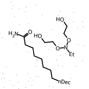 CCCCCCCCCCCCCCCCCC(N)=O.CCN(OCCO)OCCO